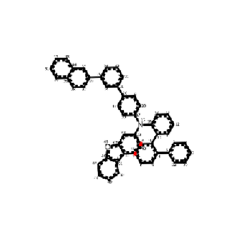 c1ccc(-c2ccccc2-c2ccccc2N(c2ccc(-c3cccc(-c4ccc5ccccc5c4)c3)cc2)c2ccc3c(c2)oc2ccccc23)cc1